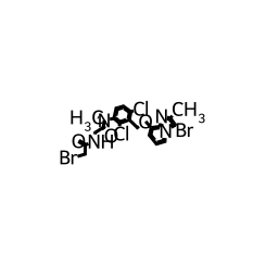 Cc1nc2c(OCc3c(Cl)ccc(N(C)C(=O)CNC(=O)CBr)c3Cl)cccn2c1Br